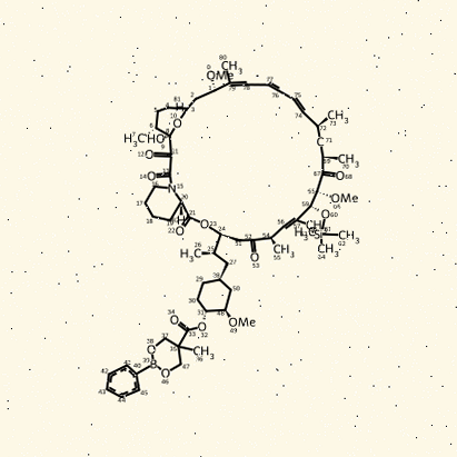 CO[C@H]1C[C@@H]2CC[C@@H](C)[C@@](O)(O2)C(=O)C(=O)N2CCCC[C@H]2C(=O)O[C@H]([C@H](C)C[C@@H]2CC[C@@H](OC(=O)C3(C)COB(c4ccccc4)OC3)[C@H](OC)C2)CC(=O)[C@H](C)/C=C(\C)[C@@H](O[Si](C)(C)C)[C@@H](OC)C(=O)[C@H](C)C[C@H](C)/C=C/C=C/C=C/1C